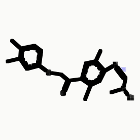 CCN(C)/C=N\c1cc(C)c(C(=O)COc2ccc(C)c(C)c2)cc1C